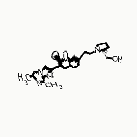 Cc1cn2cc(-c3cc4ccc(CCN5CCC[C@@H]5CO)cc4oc3=O)nc2c(C)n1